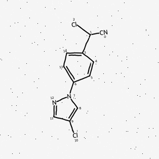 N#CC(Cl)c1ccc(-n2cc(Cl)cn2)cc1